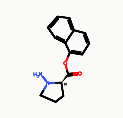 NN1CCC[C@H]1C(=O)Oc1cccc2ccccc12